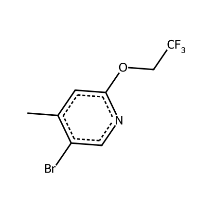 Cc1cc(OCC(F)(F)F)ncc1Br